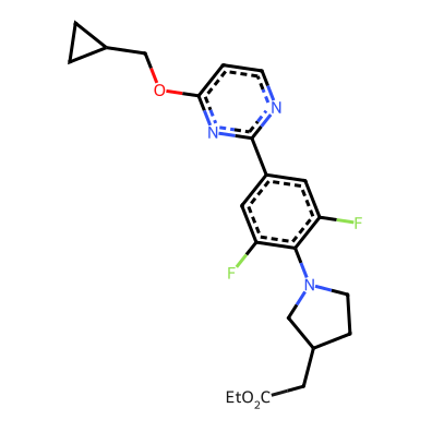 CCOC(=O)CC1CCN(c2c(F)cc(-c3nccc(OCC4CC4)n3)cc2F)C1